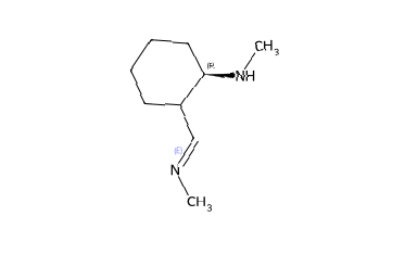 C/N=C/C1CCCC[C@H]1NC